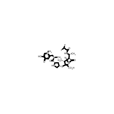 C[C@@H](NC(=O)C(F)F)[C@H]1C(=O)N2C(C(=O)O)=C(S[C@@H]3CN[C@H](C(=O)N(C)Cc4cc(=O)c(O)cn4C)C3)[C@H](C)[C@H]12